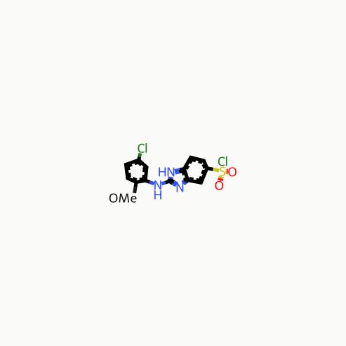 COc1ccc(Cl)cc1Nc1nc2cc(S(=O)(=O)Cl)ccc2[nH]1